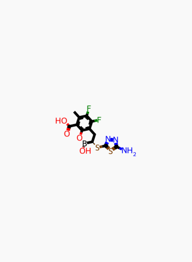 Cc1c(F)c(F)c2c(c1C(=O)O)OB(O)[C@@H](Sc1nnc(N)s1)C2